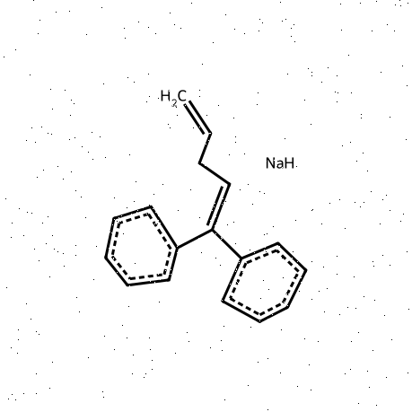 C=CCC=C(c1ccccc1)c1ccccc1.[NaH]